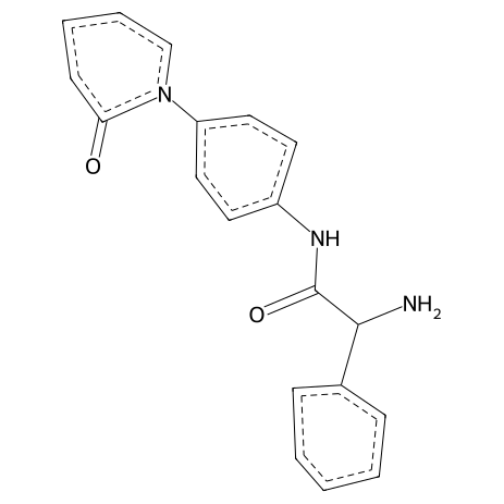 NC(C(=O)Nc1ccc(-n2ccccc2=O)cc1)c1ccccc1